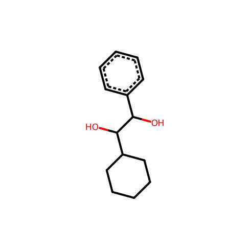 OC(c1ccccc1)C(O)C1CCCCC1